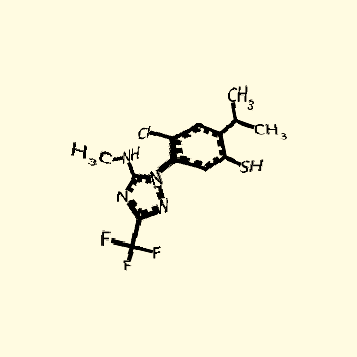 CNc1nc(C(F)(F)F)nn1-c1cc(S)c(C(C)C)cc1Cl